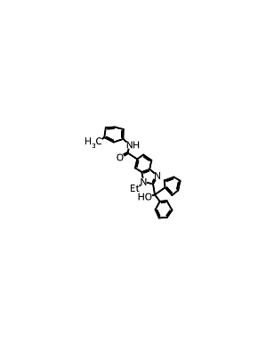 CCn1c(C(O)(c2ccccc2)c2ccccc2)nc2ccc(C(=O)Nc3cccc(C)c3)cc21